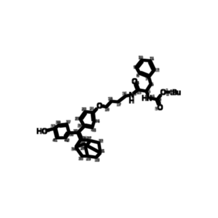 CC(C)(C)OC(=O)NC(Cc1ccccc1)C(=O)NCCCCOc1ccc(C(=C2C3CC4CC(C3)CC2C4)c2ccc(O)cc2)cc1